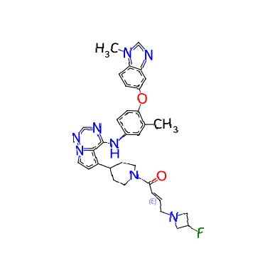 Cc1cc(Nc2ncnn3ccc(C4CCN(C(=O)/C=C/CN5CC(F)C5)CC4)c23)ccc1Oc1ccc2c(c1)ncn2C